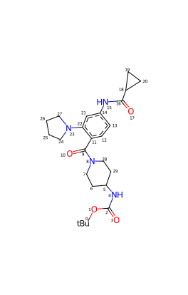 CC(C)(C)OC(=O)NC1CCN(C(=O)c2ccc(NC(=O)C3CC3)cc2N2CCCC2)CC1